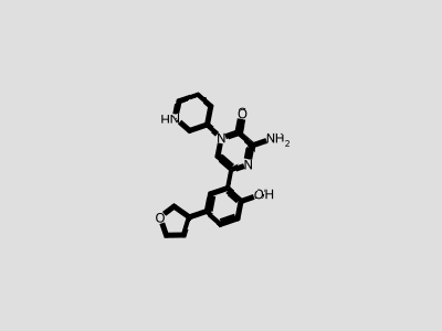 Nc1nc(-c2cc(C3CCOC3)ccc2O)cn(C2CCCNC2)c1=O